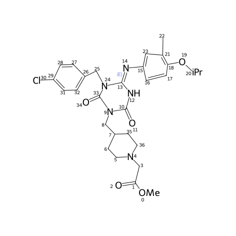 COC(=O)CN1CCC(Cn2c(=O)[nH]/c(=N\c3ccc(OC(C)C)c(C)c3)n(Cc3ccc(Cl)cc3)c2=O)CC1